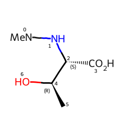 CNN[C@H](C(=O)O)[C@@H](C)O